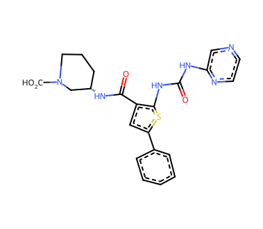 O=C(Nc1cnccn1)Nc1sc(-c2ccccc2)cc1C(=O)N[C@H]1CCCN(C(=O)O)C1